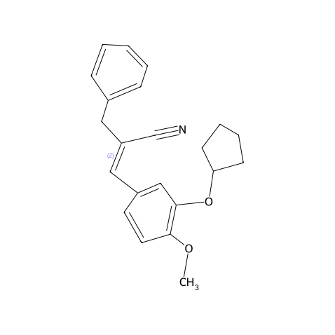 COc1ccc(/C=C(\C#N)Cc2ccccc2)cc1OC1CCCC1